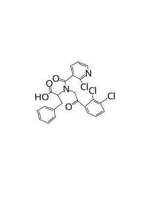 O=C(CN(C(=O)c1cccnc1Cl)C(Cc1ccccc1)C(=O)O)c1cccc(Cl)c1Cl